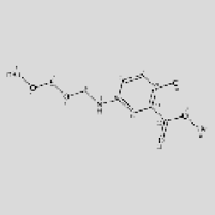 CCCCOSOCNc1ccc(Cl)c(C(=O)OC(C)C)c1